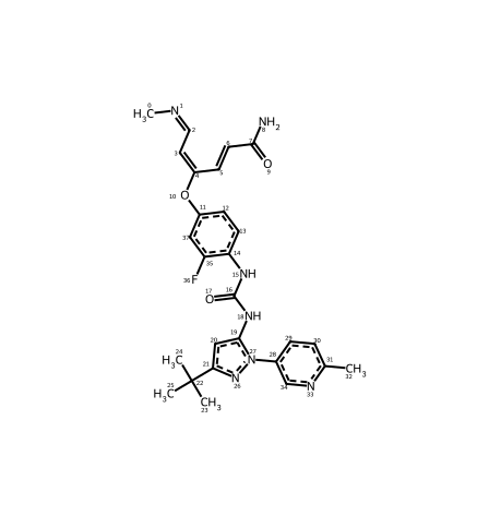 C\N=C/C=C(\C=C\C(N)=O)Oc1ccc(NC(=O)Nc2cc(C(C)(C)C)nn2-c2ccc(C)nc2)c(F)c1